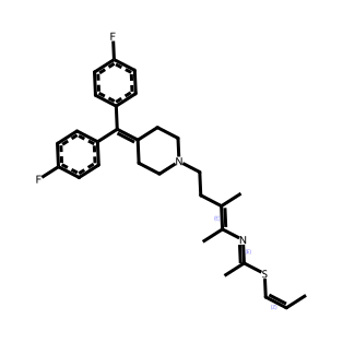 C/C=C\S/C(C)=N/C(C)=C(\C)CCN1CCC(=C(c2ccc(F)cc2)c2ccc(F)cc2)CC1